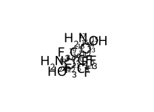 FCC(F)(F)C(F)(F)F.Nc1cc(C(c2ccc(O)c(N)c2)(C(F)(F)F)C(F)(F)F)ccc1O